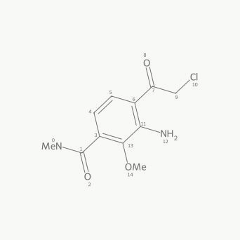 CNC(=O)c1ccc(C(=O)CCl)c(N)c1OC